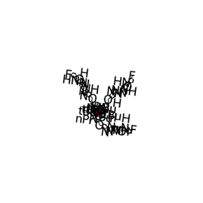 CCCN(CCCOc1ccc2c(Nc3cc(CC(=O)Nc4cccc(F)c4)[nH]n3)ncnc2c1)CC(OP(=O)(OC(CN(CCC)CCCOc1ccc2c(Nc3cc(CC(=O)Nc4cccc(F)c4)[nH]n3)ncnc2c1)(C(C)(C)C)C(C)(C)C)OC(CN(CCC)CCCOc1ccc2c(Nc3cc(CC(=O)Nc4cccc(F)c4)[nH]n3)ncnc2c1)(C(C)(C)C)C(C)(C)C)(C(C)(C)C)C(C)(C)C